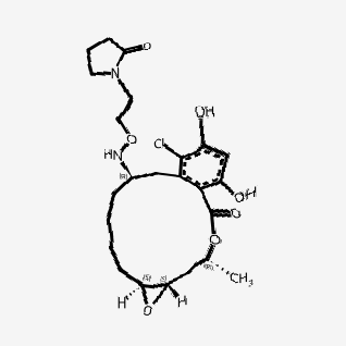 C[C@@H]1C[C@@H]2O[C@H]2CCCC[C@@H](NOCCN2CCCC2=O)Cc2c(Cl)c(O)cc(O)c2C(=O)O1